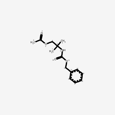 CC(=O)OCC(C)(C)NC(=O)OCc1ccccc1